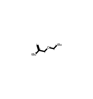 C=C(COCC(C)(C)C)C(C)(C)C